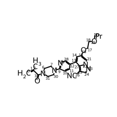 C=C(C)C(=O)N1CCN(c2ccc(-c3cc(OCCOC(C)C)cn4ncc(C#N)c34)cn2)CC1